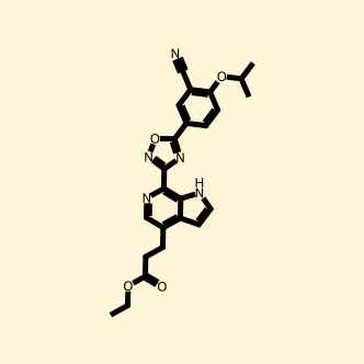 CCOC(=O)CCc1cnc(-c2noc(-c3ccc(OC(C)C)c(C#N)c3)n2)c2[nH]ccc12